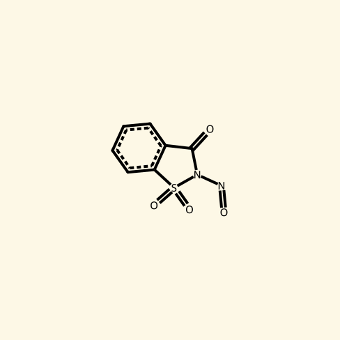 O=NN1C(=O)c2ccccc2S1(=O)=O